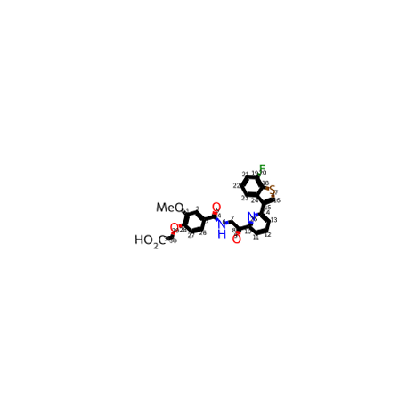 COc1cc(C(=O)NCC(=O)c2cccc(-c3csc4c(F)cccc34)n2)ccc1OCC(=O)O